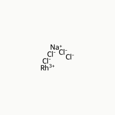 [Cl-].[Cl-].[Cl-].[Cl-].[Na+].[Rh+3]